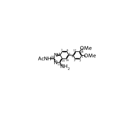 COc1ccc(-c2ccc3nc(NC(C)=O)nc(N)c3c2)cc1OC